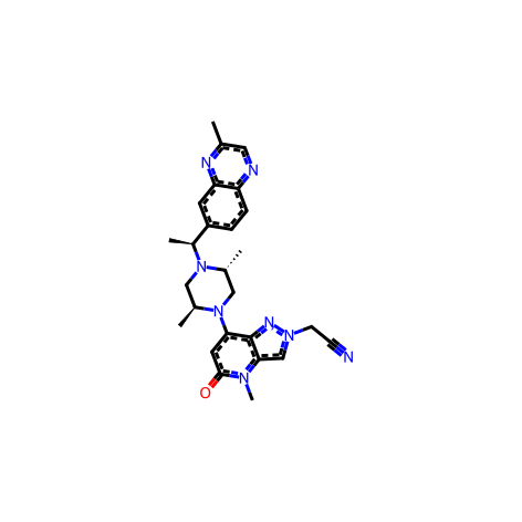 Cc1cnc2ccc([C@H](C)N3C[C@H](C)N(c4cc(=O)n(C)c5cn(CC#N)nc45)C[C@H]3C)cc2n1